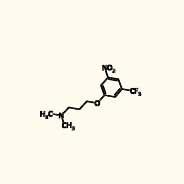 CN(C)CCCOc1cc([N+](=O)[O-])cc(C(F)(F)F)c1